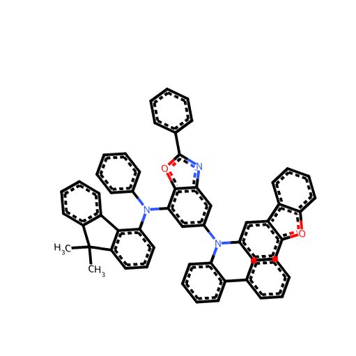 CC1(C)c2ccccc2-c2c(N(c3ccccc3)c3cc(N(c4ccc5oc6ccccc6c5c4)c4ccccc4-c4ccccc4)cc4nc(-c5ccccc5)oc34)cccc21